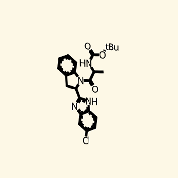 CC(NC(=O)OC(C)(C)C)C(=O)N1c2ccccc2CC1c1nc2cc(Cl)ccc2[nH]1